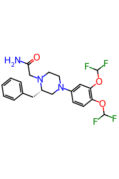 NC(=O)CN1CCN(c2ccc(OC(F)F)c(OC(F)F)c2)C[C@@H]1Cc1ccccc1